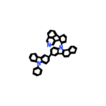 c1ccc(-n2c3ccccc3c3cc(-c4ccc5c(c4)c4ccc6ccccc6c4n5-c4cccc5c4-c4cncc6cccc-5c46)ccc32)cc1